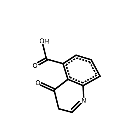 O=C(O)c1cccc2c1C(=O)CC=N2